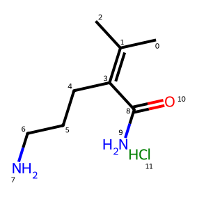 CC(C)=C(CCCN)C(N)=O.Cl